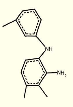 Cc1cccc(Nc2ccc(C)c(C)c2N)c1